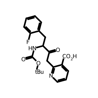 CC(C)(C)OC(=O)NC(Cc1ccccc1F)C(=O)Cc1ncccc1C(=O)O